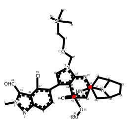 Cn1nc2ccc(-c3cn(COCC[Si](C)(C)C)c4nc(N5C6CCC5CC(NC(=O)OC(C)(C)C)C6)cnc34)c(Cl)c2c1C=O